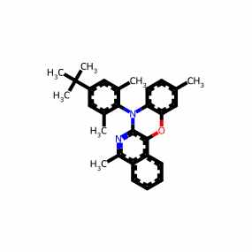 Cc1ccc2c(c1)Oc1c(nc(C)c3ccccc13)N2c1c(C)cc(C(C)(C)C)cc1C